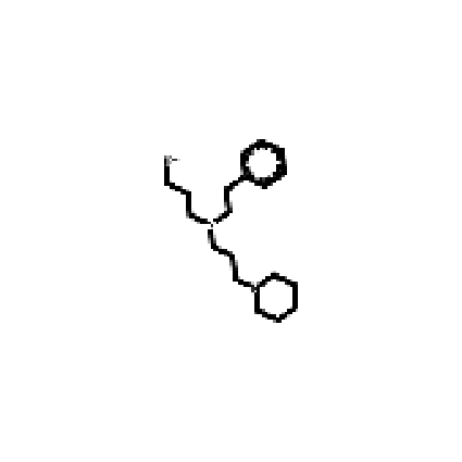 CC(C)CCCN(CCCN1CCCCC1)CCc1ccccc1